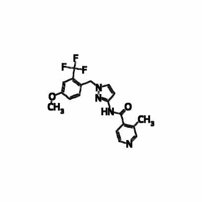 COc1ccc(Cn2ccc(NC(=O)c3ccncc3C)n2)c(C(F)(F)F)c1